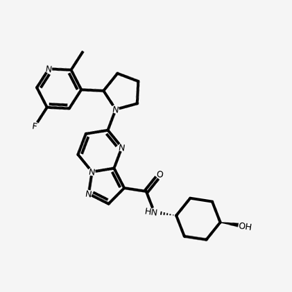 Cc1ncc(F)cc1C1CCCN1c1ccn2ncc(C(=O)N[C@H]3CC[C@H](O)CC3)c2n1